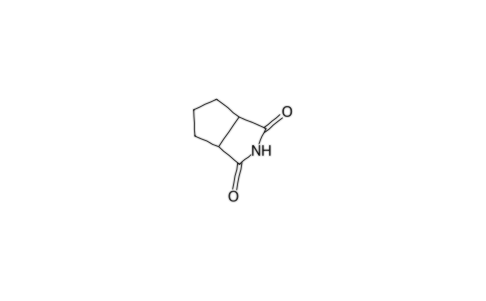 O=C1NC(=O)C2CCCC12